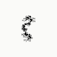 COP(=O)(NCCn1cc(P(=O)(OC)OP(=O)(OC)OC[C@H]2O[C@@H](n3cnc4c(=O)[nH]c(N)nc43)C(O)C2O)nn1)OC[C@H]1O[C@@H](N2CCN(C)c3c2nc(N)[nH]c3=O)C(O)C1O